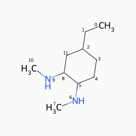 CCC1CCC(NC)C(NC)C1